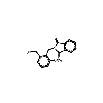 COc1cccc(CBr)c1CN1C(=O)c2ccccc2C1=O